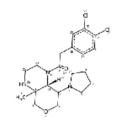 CC12COCC(N3CCCC3)[C@H]1N(C(=O)Cc1ccc(Cl)c(Cl)c1)CCN2